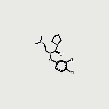 CN(C)CCN(Oc1ccc(Cl)c(Cl)c1)C(=O)N1CCCC1